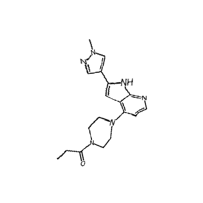 CCC(=O)N1CCN(c2ccnc3[nH]c(-c4cnn(C)c4)cc23)CC1